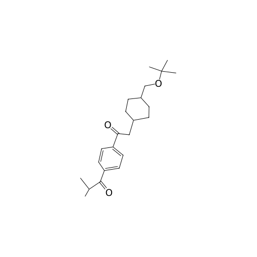 CC(C)C(=O)c1ccc(C(=O)CC2CCC(COC(C)(C)C)CC2)cc1